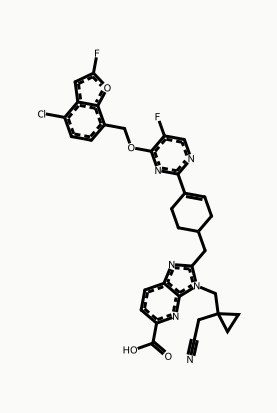 N#CCC1(Cn2c(CC3CC=C(c4ncc(F)c(OCc5ccc(Cl)c6cc(F)oc56)n4)CC3)nc3ccc(C(=O)O)nc32)CC1